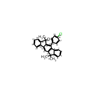 CC1(C)c2ccccc2-c2c1cc1c(c2-c2ccc(Cl)cc2)C(C)(C)c2ccccc2-1